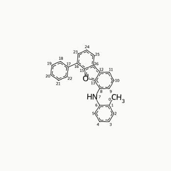 Cc1ccccc1Nc1cccc2c1oc1c(-c3ccccc3)cccc12